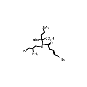 CCCC[C@@](CCSC)(C(=O)O)N(NCC(N)CS)C(=O)C/C=C/C[C@@H](C)CC